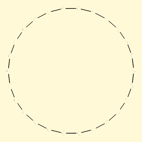 C1CCCCCCCCSSSSSSSSSSCCCCCCC1